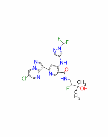 CC(C)(O)C(F)CNC(=O)c1cnc(-c2cnn3cc(Cl)cnc23)cc1Nc1cnn(C(F)F)c1